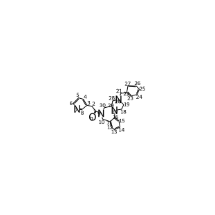 O=C(Cc1cccnc1)N1Cc2ccccc2N2CCN(Cc3ccccc3)CC2C1